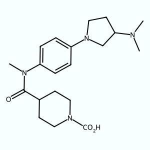 CN(C(=O)C1CCN(C(=O)O)CC1)c1ccc(N2CCC(N(C)C)C2)cc1